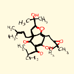 CC(C)=CCC12CC(C(C)(C)O)OC1=C(CC1OC1(C)C)C(O)=C(C(=O)C(C)C)C2=O